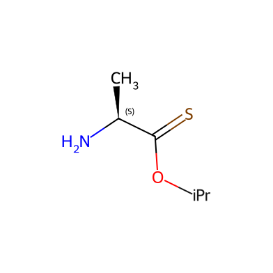 CC(C)OC(=S)[C@H](C)N